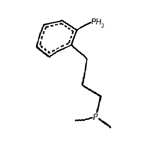 CP(C)CCCc1ccccc1P